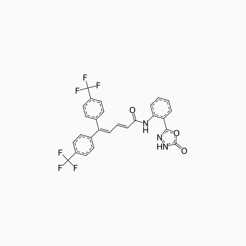 O=C(/C=C/C=C(c1ccc(C(F)(F)F)cc1)c1ccc(C(F)(F)F)cc1)Nc1ccccc1-c1n[nH]c(=O)o1